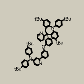 CC(C)(C)c1ccc(N(c2ccc(C(C)(C)C)cc2)c2ccnc(-c3cccc(Oc4cccc([C@@]5(c6ccccn6)Cc6cc(C(C)(C)C)ccc6N(c6ccc(C(C)(C)C)cc6)c6ccc(C(C)(C)C)cc65)c4)c3)c2)cc1